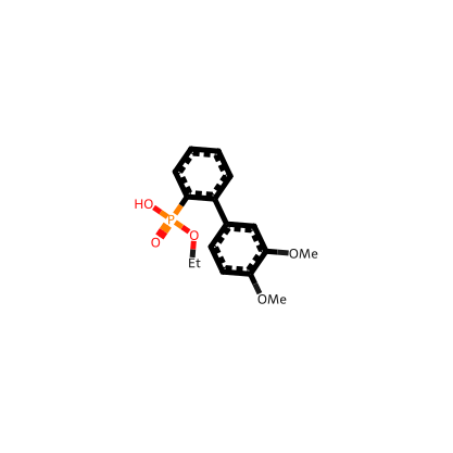 CCOP(=O)(O)c1ccccc1-c1ccc(OC)c(OC)c1